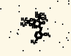 Cc1ccc(CC(NC(=O)OC(C)(C)C)C(=O)OC(C)(C)C)c(C)c1